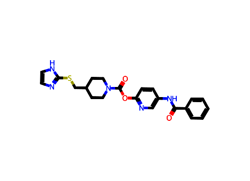 O=C(Nc1ccc(OC(=O)N2CCC(CSc3ncc[nH]3)CC2)nc1)c1ccccc1